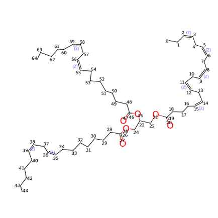 CC/C=C\C/C=C\C/C=C\C/C=C\C/C=C\CCCC(=O)OCC(COC(=O)CCCCCCC/C=C\C/C=C\CCCCC)OC(=O)CCCCCCC/C=C\C/C=C\CCCCC